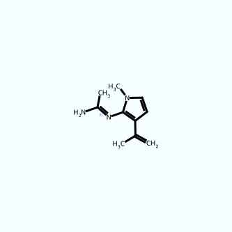 C=C(C)c1ccn(C)c1/N=C(\C)N